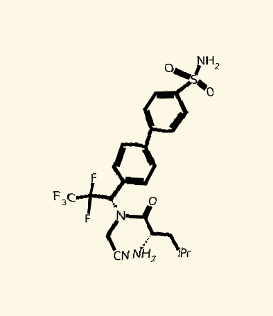 CC(C)C[C@H](N)C(=O)N(CC#N)[C@@H](c1ccc(-c2ccc(S(N)(=O)=O)cc2)cc1)C(F)(F)C(F)(F)F